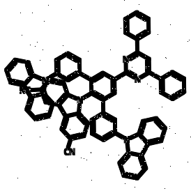 N#Cc1ccc2c(c1)c1cc(C#N)ccc1n2-c1c(-c2cccc(-n3c4ccccc4c4ccccc43)c2)cc(-c2nc(-c3ccccc3)cc(-c3ccccc3)n2)cc1-c1cccc(-n2c3ccccc3c3ccccc32)c1